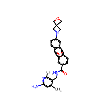 Cc1cc(N)nc(C)c1CNC(=O)c1ccc2c(c1)c1oc2c2cc(N3CC4(COC4)C3)ccc21